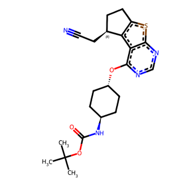 CC(C)(C)OC(=O)N[C@H]1CC[C@H](Oc2ncnc3sc4c(c23)[C@@H](CC#N)CC4)CC1